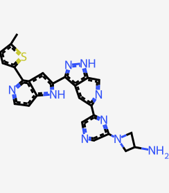 Cc1ccc(-c2nccc3[nH]c(-c4n[nH]c5cnc(-c6cncc(N7CC(N)C7)n6)cc45)cc23)s1